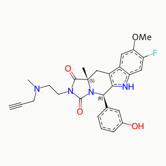 C#CCN(C)CCN1C(=O)N2[C@H](c3cccc(O)c3)c3[nH]c4cc(F)c(OC)cc4c3C[C@@]2(C)C1=O